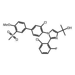 COc1ccc(-c2ccc(-n3cc(C(C)(C)O)nc3-c3c(F)cccc3Cl)c(Cl)c2)cc1S(C)(=O)=O